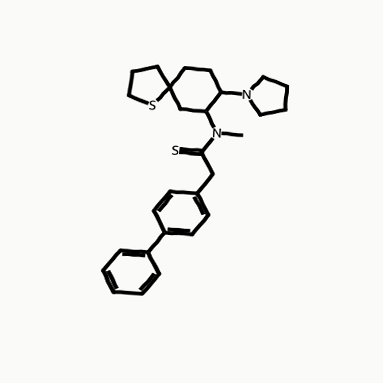 CN(C(=S)Cc1ccc(-c2ccccc2)cc1)C1CC2(CCCS2)CCC1N1CCCC1